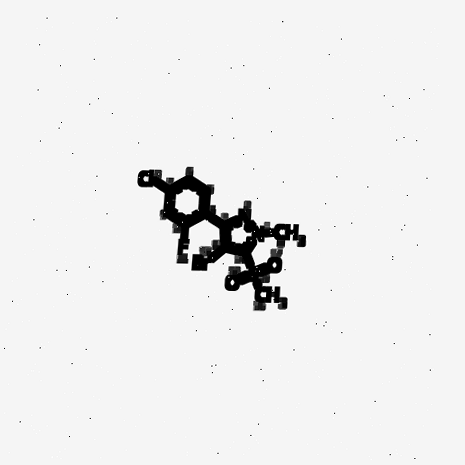 Cn1nc(-c2ccc(Cl)cc2F)c(Br)c1S(C)(=O)=O